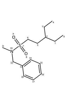 CCC(CC)CCS(=O)(=O)N(C)Cc1ccccc1